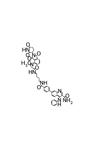 CN(CC(=O)NCCCCNC(=O)c1ccc(-c2ccc3c(Nc4ccccc4)c(C(N)=O)cnc3c2)cc1)c1cccc2c1C(=O)N(C1CCC(=O)NC1=O)C2=O